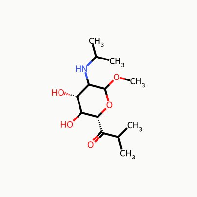 COC1O[C@H](C(=O)C(C)C)C(O)[C@H](O)C1NC(C)C